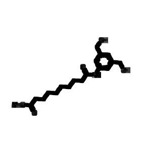 COC(=O)CCCCCCCCC(=O)Nc1cc(CO)cc(CO)c1